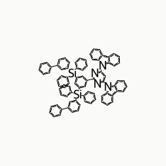 c1ccc(-c2cccc([Si](c3ccccc3)(c3ccccc3)c3cc(-c4nc(-n5c6ccccc6c6ccccc65)cc(-n5c6ccccc6c6ccccc65)n4)cc([Si](c4ccccc4)(c4ccccc4)c4cccc(-c5ccccc5)c4)c3)c2)cc1